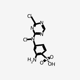 Nc1cc(N(Cl)c2ncnc(Cl)n2)ccc1S(=O)(=O)O